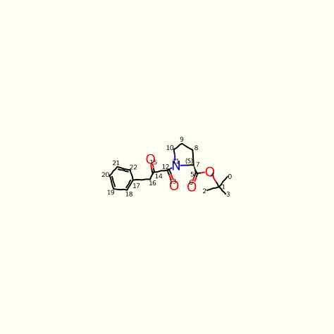 CC(C)(C)OC(=O)[C@@H]1CCCN1C(=O)C(=O)Cc1ccccc1